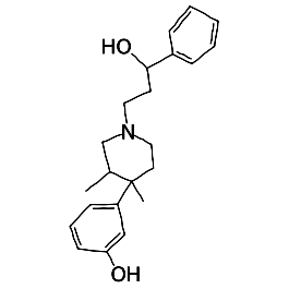 CC1CN(CCC(O)c2ccccc2)CCC1(C)c1cccc(O)c1